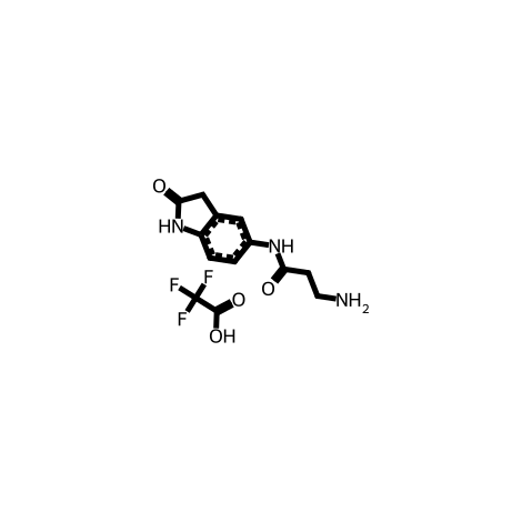 NCCC(=O)Nc1ccc2c(c1)CC(=O)N2.O=C(O)C(F)(F)F